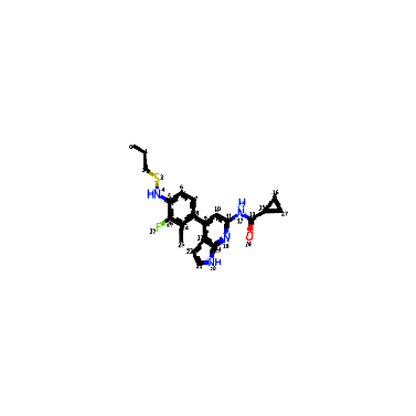 CCCSNc1ccc(-c2cc(NC(=O)C3CC3)nc3[nH]ccc23)c(C)c1F